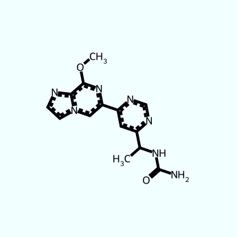 COc1nc(-c2cc(C(C)NC(N)=O)ncn2)cn2ccnc12